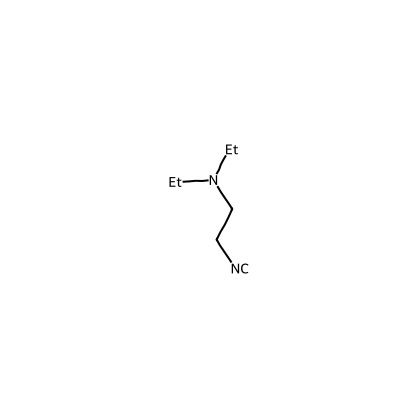 [C-]#[N+]CCN(CC)CC